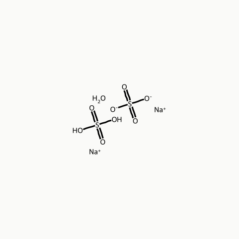 O.O=S(=O)(O)O.O=S(=O)([O-])[O-].[Na+].[Na+]